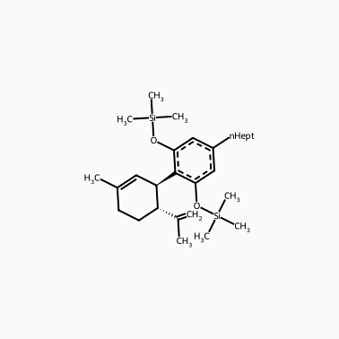 C=C(C)[C@@H]1CCC(C)=C[C@H]1c1c(O[Si](C)(C)C)cc(CCCCCCC)cc1O[Si](C)(C)C